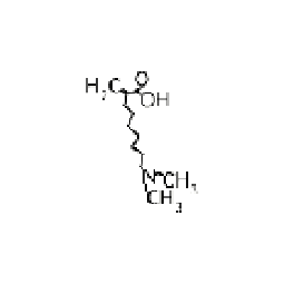 C=C(CCCCCCCN(CC)CC)C(=O)O